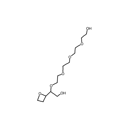 OCCOCCOCCOCCOC(CO)C1CCO1